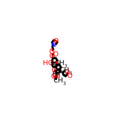 CC(=O)O[C@H]1[C@H]2O[C@]23[C@@H]2CC[C@]4(O)C[C@@H](OC(=O)OCCN5CCOCC5)CC[C@]4(C)[C@H]2CC[C@]3(C)[C@H]1c1ccc(=O)oc1